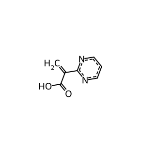 C=C(C(=O)O)c1ncccn1